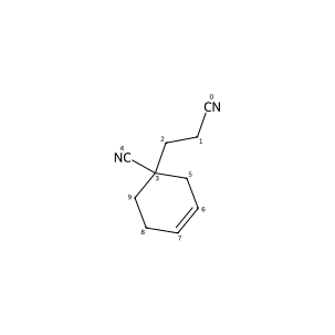 N#CCCC1(C#N)CC=CCC1